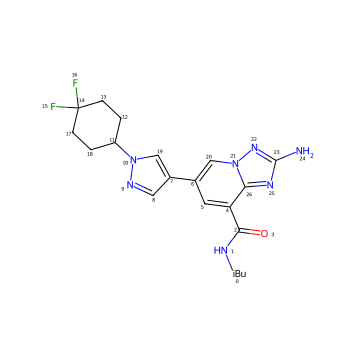 CCC(C)NC(=O)c1cc(-c2cnn(C3CCC(F)(F)CC3)c2)cn2nc(N)nc12